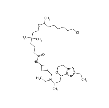 CCc1cc2c(s1)CCOC2C[C@H](C)N(CC)CC1CC(NC(=O)CCCC(C)(C)CCOC(C)CCCCCCCl)C1